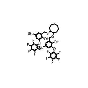 CC(C)(C)c1cc(CSC2CCCCCCC2SCc2cc(C(C)(C)C)cc(Oc3c(F)c(F)c(F)c(F)c3F)c2O)c(O)c(Oc2c(F)c(F)c(F)c(F)c2F)c1